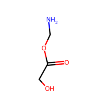 NCOC(=O)CO